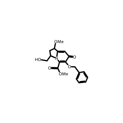 COC(=O)c1c(OCc2ccccc2)c(=O)cc2n1C(CO)CC2OC